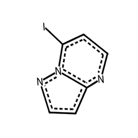 Ic1ccnc2ccnn12